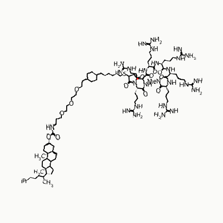 CNC(=O)[C@H](CCCNC(=N)N)NC(=O)[C@H](CCCNC(=N)N)NC(=O)[C@H](CCCNC(=N)N)NC(=O)[C@H](CCCNC(=N)N)NC(=O)[C@H](CCCNC(=N)N)NC(=O)[C@H](CCCNC(=N)N)N1C(=O)CC(SCCCCCCC2CCC(CCOCCOCCOCCCNC(=O)O[C@H]3CC[C@@]4(C)C(=CCC5C4CC[C@@]4(C)C5CC[C@@H]4[C@@H](C)CCCC(C)C)C3)CC2)C1=O